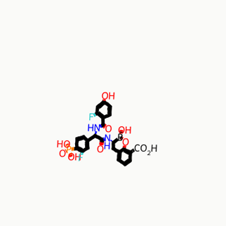 O=C(N[C@@H](C(=O)N[C@H]1Cc2cccc(C(=O)O)c2OB1O)c1ccc(P(=O)(O)O)c(F)c1)c1ccc(O)cc1F